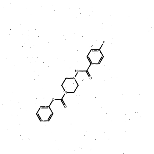 O=C(NN1CCN(C(=O)Oc2ccccc2)CC1)c1ccc(F)cc1